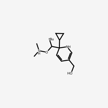 C[SiH](C)OC(C(C)(C)C)C1(C2CC2)C=CC(CO)=CN1